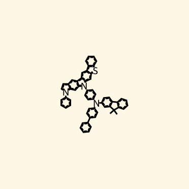 CC1(C)c2ccccc2-c2ccc(N(c3ccc(-c4ccccc4)cc3)c3ccc(-n4c5cc6sc7ccccc7c6cc5c5cc6ccn(-c7ccccc7)c6cc54)cc3)cc21